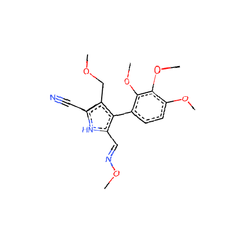 COCc1c(C#N)[nH]c(/C=N/OC)c1-c1ccc(OC)c(OC)c1OC